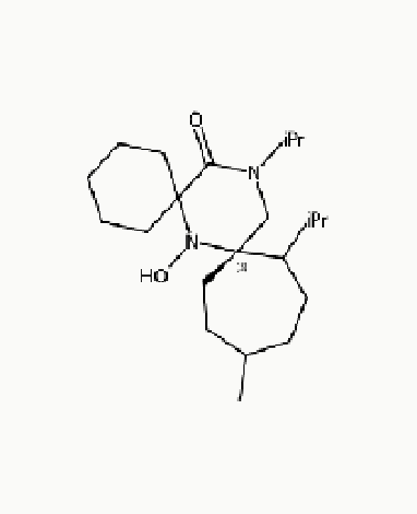 CC1CCC(C(C)C)[C@@]2(CC1)CN(C(C)C)C(=O)C1(CCCCC1)N2O